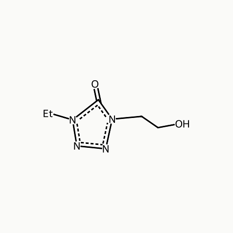 CCn1nnn(CCO)c1=O